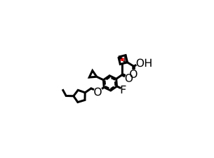 CCC1CCC(COc2cc(F)c(C(=O)N3CC4CC3(C(=O)O)C4)cc2C2CC2)C1